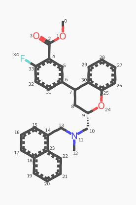 COC(=O)c1cc(C2C[C@@H](CN(C)Cc3cccc4ccccc34)Oc3ccccc32)ccc1F